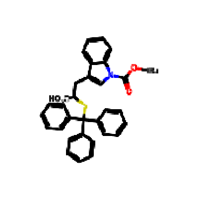 CC(C)(C)OC(=O)n1cc(CC(SC(c2ccccc2)(c2ccccc2)c2ccccc2)C(=O)O)c2ccccc21